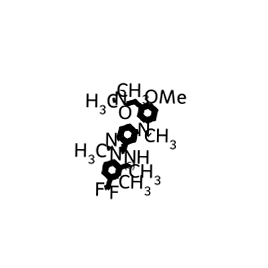 COc1ccc(N(C)c2ccc3nc(C)nc(N[C@@H](C)c4cccc(C(F)F)c4C)c3c2)cc1CC(=O)N(C)C